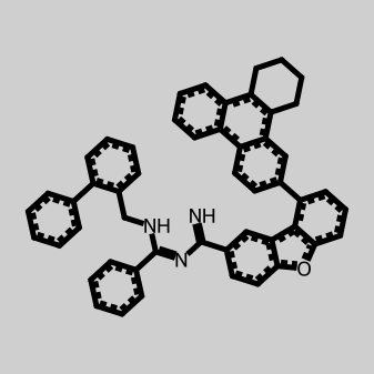 N=C(/N=C(\NCc1ccccc1-c1ccccc1)c1ccccc1)c1ccc2oc3cccc(-c4ccc5c(c4)c4c(c6ccccc65)CCCC4)c3c2c1